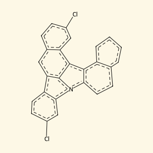 Clc1ccc2cc3c4ccc(Cl)cc4n4c5ccc6ccccc6c5c(c2c1)c34